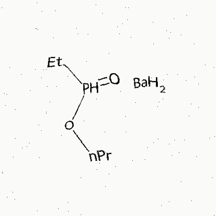 CCCO[PH](=O)CC.[BaH2]